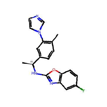 Cc1ccc([C@H](C)Nc2nc3cc(F)ccc3o2)cc1-n1ccnc1